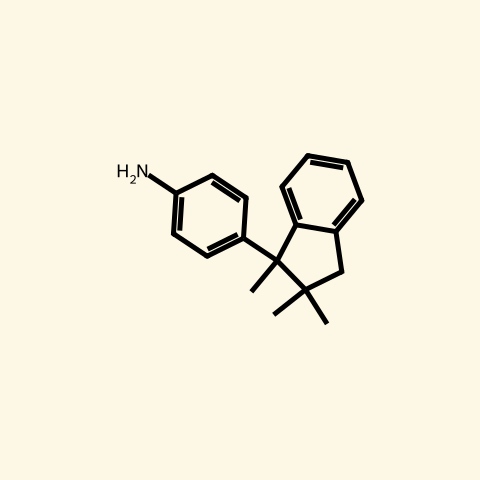 CC1(C)Cc2ccccc2C1(C)c1ccc(N)cc1